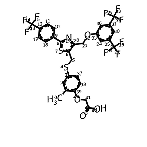 Cc1cc(SCc2sc(-c3ccc(C(F)(F)F)cc3)nc2COc2cc(C(F)(F)F)cc(C(F)(F)F)c2)ccc1OCC(=O)O